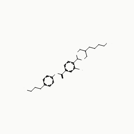 CCCCCC1COC(c2ccc(C(=O)Oc3ccc(CCCC)cc3)cc2F)OC1